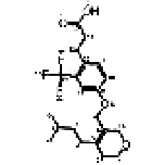 CC(C)CCC1=C(COc2ccc(CCC(=O)O)c(C(F)(F)F)c2)COCC1